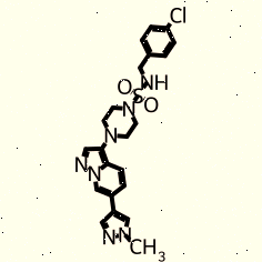 Cn1cc(-c2ccc3c(N4CCN(S(=O)(=O)NCc5ccc(Cl)cc5)CC4)cnn3c2)cn1